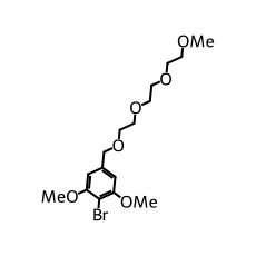 COCCOCCOCCOCc1cc(OC)c(Br)c(OC)c1